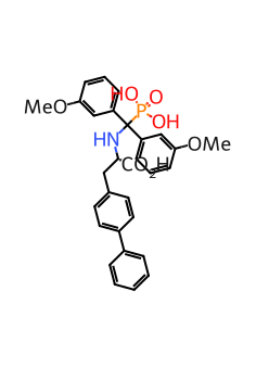 COc1cccc(C(N[C@@H](Cc2ccc(-c3ccccc3)cc2)C(=O)O)(c2cccc(OC)c2)P(=O)(O)O)c1